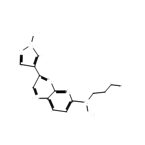 CN(CCCO)c1ccc2ncc(-c3cnn(C)c3)nc2n1